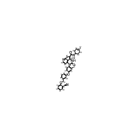 Cc1cc(Oc2cccc(COc3ccccc3C#N)c2)ccc1N1C(=O)Nc2c(C(=O)NC3CCN(C)CC3)sc3nccc1c23